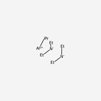 CC[N-]CC.CC[N-]CC.C[CH](C)[Al+2]